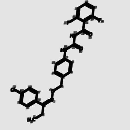 CCC(=NOCc1ccc(NC(=O)NC(=O)c2c(F)cccc2F)cc1)c1ccc(Cl)cc1